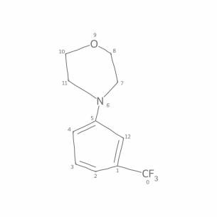 FC(F)(F)c1cccc(N2CCOCC2)c1